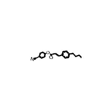 CCCCc1ccc(C=CC(=O)Oc2ccc(C#N)cc2)cc1